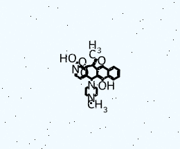 Cc1oc2c(c1C(=O)OCO)c(C(c1ccncc1)N1CCN(C)CC1)c(O)c1ccccc12